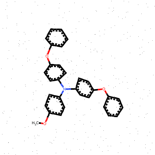 COc1ccc(N(c2ccc(Oc3ccccc3)cc2)c2ccc(Oc3ccccc3)cc2)cc1